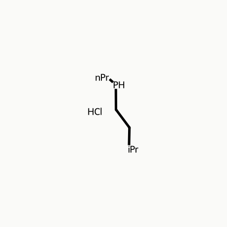 CCCPCCC(C)C.Cl